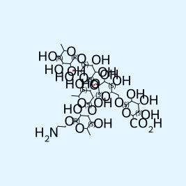 CC1O[C@H](O[C@@H]2C(CO)O[C@@H](OC3[C@@H](O)C(C)O[C@@H](OC4C(O)[C@H](OCCN)OC(C)[C@@H]4O)C3(O)[C@H]3OC(CO[C@H]4OC(C(=O)O)[C@@H](O)C(O)C4O)[C@@H](O)C(O)C3O)C(O)C2O)C(O)C(O)[C@H]1O